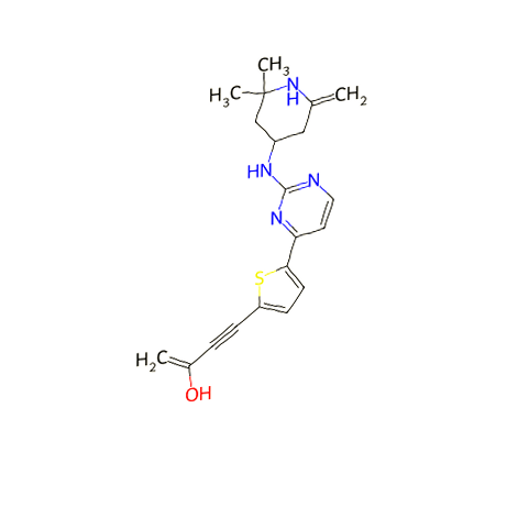 C=C(O)C#Cc1ccc(-c2ccnc(NC3CC(=C)NC(C)(C)C3)n2)s1